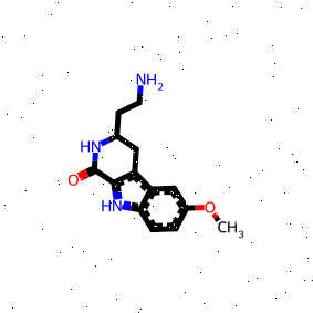 COc1ccc2[nH]c3c(c2c1)CC(CCN)NC3=O